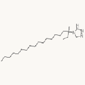 CCCCCCCCCCCCCCCCC(C)(CC)N1CN=NN1